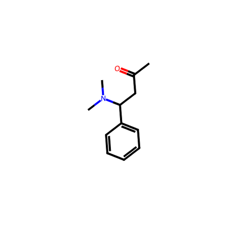 CC(=O)CC(c1ccccc1)N(C)C